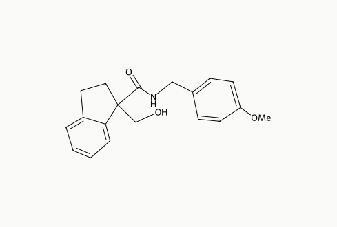 COc1ccc(CNC(=O)C2(CO)CCc3ccccc32)cc1